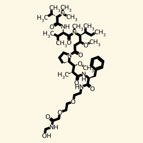 CCC(C)[C@@H](C(CC(=O)N1CCC[C@H]1[C@H](OC)[C@@H](C)C(=O)N[C@@H](Cc1ccccc1)C(=O)NCCOCCOCC(=O)NCO)OC)N(C)C(=O)[C@@H](NC(=O)[C@H](C(C)C)N(C)C)C(C)C